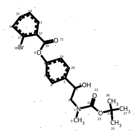 CN(CC(O)c1ccc(OC(=O)c2ccccc2Br)cc1)C(=O)OC(C)(C)C